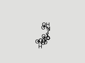 CN(CCCSc1cccc2c1C(=O)N(C1CCC(=O)NC1=O)C2=O)CCC(=O)O